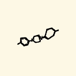 Cc1ccc(N2CCN(C3CCC(C)CC3)CC2)cc1